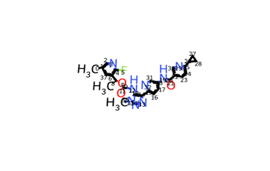 Cc1cnc(F)c([C@@H](C)OC(=O)Nc2c(-c3ccc(NC(=O)c4ccc(C5CC5)nc4)cn3)nnn2C)c1